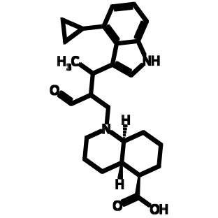 CC(c1c[nH]c2cccc(C3CC3)c12)C(C=O)CN1CCC[C@H]2[C@H](C(=O)O)CCC[C@@H]21